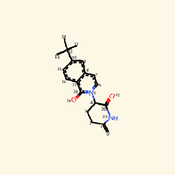 C=C1CCC(n2ccc3cc(C(C)(C)C)ccc3c2=O)C(=O)N1